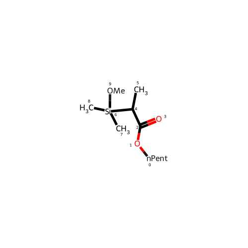 CCCCCOC(=O)C(C)[Si](C)(C)OC